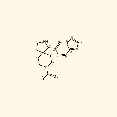 O=C(O)N1CCC2(CCNC2c2ccc3nncn3c2)CC1